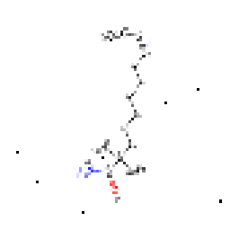 CCCCCCCC/C=C\CCCCCCC(CCC)(CCC)C(N)=O